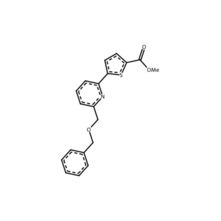 COC(=O)c1ccc(-c2cccc(COCc3ccccc3)n2)s1